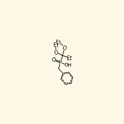 CCOC(CC)(OCC)P(=O)(O)Cc1ccccc1